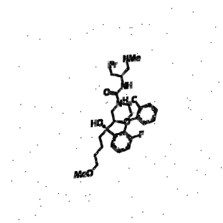 CNC[C@H](CC(C)C)NC(=O)N1CCC[C@@H]([C@@](O)(CCCCOC)c2cccc(F)c2Oc2ccccc2C)C1